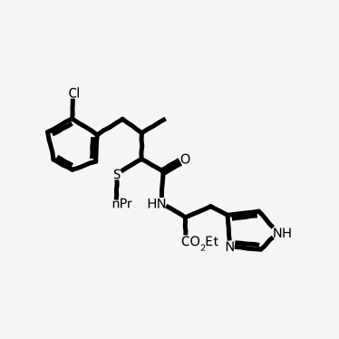 CCCSC(C(=O)NC(Cc1c[nH]cn1)C(=O)OCC)C(C)Cc1ccccc1Cl